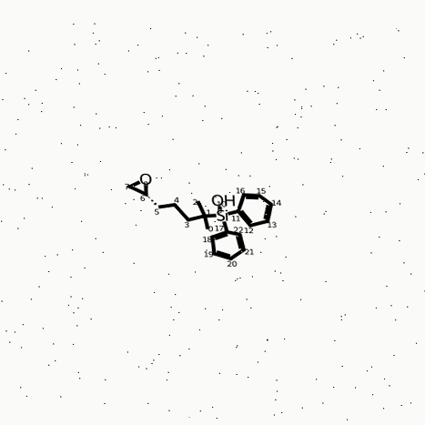 CC(C)(CCC[C@@H]1CO1)[Si](O)(c1ccccc1)c1ccccc1